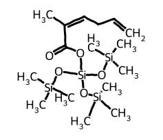 C=CCC=C(C)C(=O)O[Si](O[Si](C)(C)C)(O[Si](C)(C)C)O[Si](C)(C)C